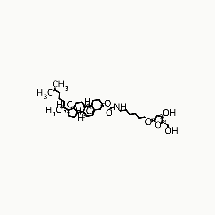 CC(C)CCC[C@H](C)[C@@H]1CC[C@@H]2C3CC=C4C[C@@H](OC(=O)NCCCCCCO[C@H]5C[C@@H](O)[C@@H](CO)O5)CC[C@]4(C)[C@@H]3CC[C@@]21C